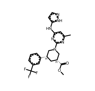 COC(=O)[C@@H]1C[C@H](c2cccc(C(F)(F)F)c2)CN(c2nc(C)cc(Nc3ccn[nH]3)n2)C1